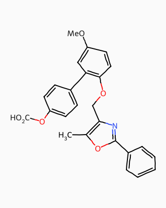 COc1ccc(OCc2nc(-c3ccccc3)oc2C)c(-c2ccc(OC(=O)O)cc2)c1